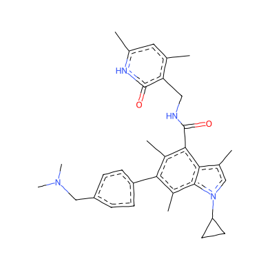 Cc1cc(C)c(CNC(=O)c2c(C)c(-c3ccc(CN(C)C)cc3)c(C)c3c2c(C)cn3C2CC2)c(=O)[nH]1